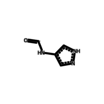 O=[C]Nc1cn[nH]c1